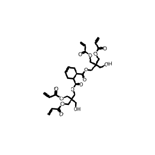 C=CC(=O)OCC(CO)(COC(=O)C=C)COC(=O)C1CC=CCC1C(=O)OCC(CO)(COC(=O)C=C)COC(=O)C=C